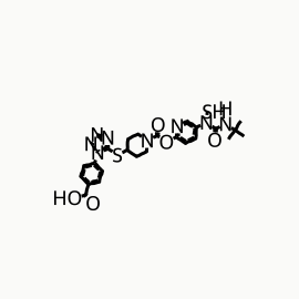 CC(C)(C)NC(=O)N(S)c1ccc(OC(=O)N2CCC(Sc3nnnn3-c3ccc(C(=O)O)cc3)CC2)nc1